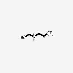 CC(C)(C)CNCCC(F)(F)F